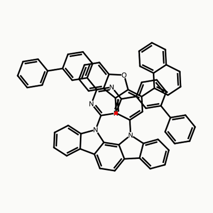 c1ccc(-c2cccc(-c3nc(-c4cccc(-c5ccccc5)c4)nc(-n4c5ccccc5c5ccc6c7ccccc7n(-c7cc(-c8cccc9ccccc89)c8oc9ccccc9c8c7)c6c54)n3)c2)cc1